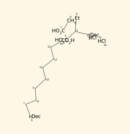 CC(=O)O.CCCCCCCCCCC(CC)C(=O)O.CCCCCCCCCCCCCCCCCC(=O)O.Cl.Cl